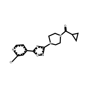 O=C(C1CC1)N1CCN(c2noc(-c3ccnc(Cl)c3)n2)CC1